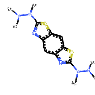 CCN(CC)N(C(C)=O)c1nc2cc3nc(N(C(C)=O)N(CC)CC)sc3cc2s1